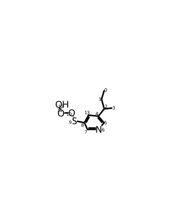 CCC(C)c1cncc(SOOO)c1